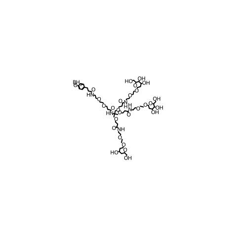 BOc1ccc(CCC(=O)NCCOCCOCCC(=O)NC(COCCC(=O)NCCOCCOC2CC(O)CC(CO)O2)(COCCC(=O)NCCOCCOC2CC(O)C(O)C(CO)O2)COCCC(=O)NCCOCCOC2CC(O)C(O)C(CO)O2)cc1